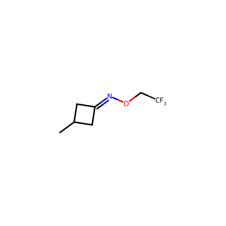 CC1CC(=NOCC(F)(F)F)C1